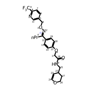 CCC/C(=N\OCc1ccc(C(F)(F)F)nc1)c1ccc(OCC(=O)NCC2C=COCC2)cc1